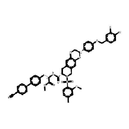 COC(=O)[C@H](Cc1ccc(-c2ccc(C#N)cc2)cc1)NC(=O)[C@@H]1Cc2cc3c(cc2CN1S(=O)(=O)c1ccc(C)cc1OC)O[C@@H](c1ccc(OCc2ccc(Cl)c(Cl)c2)cc1)CO3